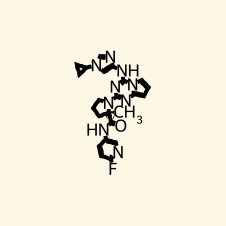 C[C@@]1(C(=O)Nc2ccc(F)nc2)CCCN1c1nc(Nc2cn(C3CC3)cn2)n2cccc2n1